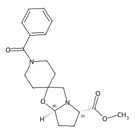 COC(=O)[C@@H]1CC[C@H]2OC3(CCN(C(=O)c4ccccc4)CC3)CN21